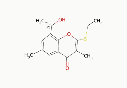 CCSc1oc2c([C@H](C)O)cc(C)cc2c(=O)c1C